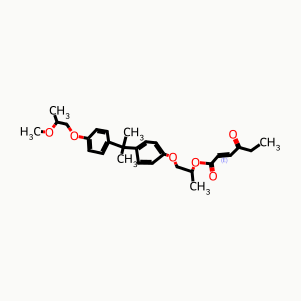 CCC(=O)/C=C/C(=O)OC(C)COc1ccc(C(C)(C)c2ccc(OCC(C)OC)cc2)cc1